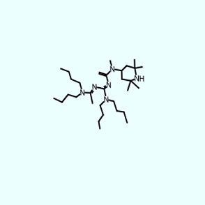 C=C(/N=C(\N=C(/C)N(CCCC)CCCC)N(CCCC)CCCC)N(C)C1CC(C)(C)NC(C)(C)C1